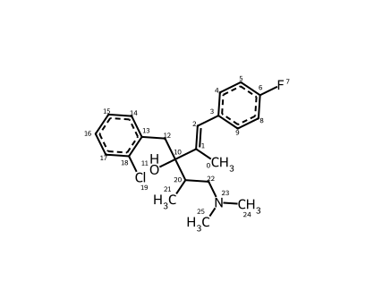 CC(=Cc1ccc(F)cc1)C(O)(Cc1ccccc1Cl)C(C)CN(C)C